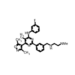 CNCCNCc1cccc(-c2nc(Nc3cccc(F)c3)c(C)c(-c3c(C)noc3C)n2)c1